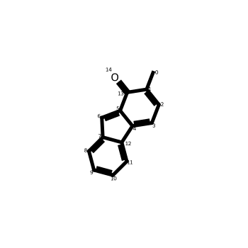 CC1=CC=C2C(=Cc3ccccc32)C1=O